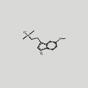 COc1ccc2[nH]cc(CC[N+](C)(C)[O-])c2c1